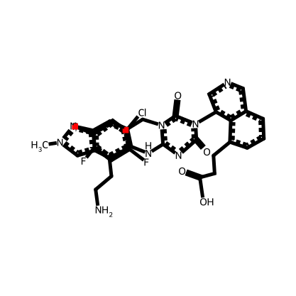 Cn1cc2c(CCN)c(Nc3nc(=O)n(-c4cncc5cccc(CCC(=O)O)c45)c(=O)n3Cc3cc(F)c(F)cc3F)c(Cl)cc2n1